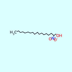 CCCCCCCCCCCCCCCCC(CO)[N+](=O)[O-]